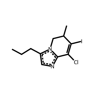 CCCc1cnc2n1CC(C)C(I)=C2Cl